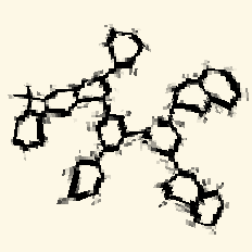 CC1(C)c2ccccc2-c2cc3c(-c4cc(-c5ccccc5)cc(-c5nc(-c6ccc7ccccc7c6)cc(-c6ccc7ccccc7c6)n5)c4)cc(-c4ccccc4)nc3cc21